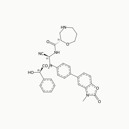 Cn1c(=O)oc2ccc(-c3ccc(C[C@@H](C#N)NC(=O)[C@@H]4CNCCCO4)cc3)cc21.O=C(O)[C@H](O)c1ccccc1